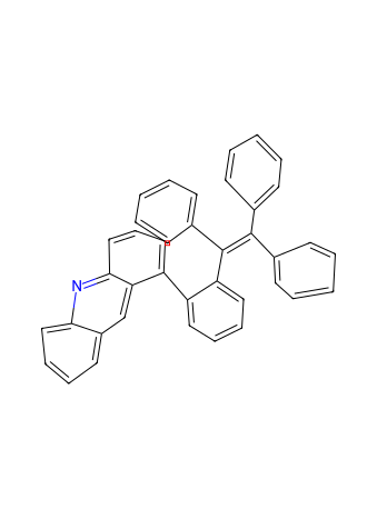 c1ccc(C(=C(c2ccccc2)c2ccccc2-c2cccc3nc4ccccc4cc23)c2ccccc2)cc1